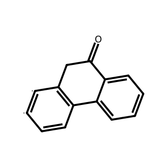 O=C1Cc2[c][c]ccc2-c2ccccc21